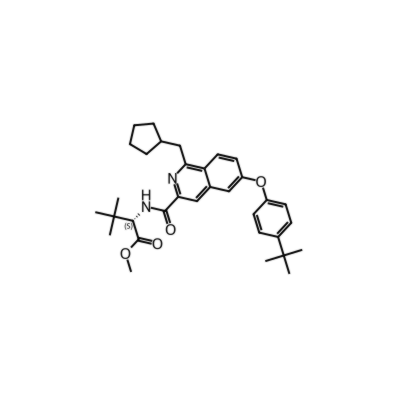 COC(=O)[C@@H](NC(=O)c1cc2cc(Oc3ccc(C(C)(C)C)cc3)ccc2c(CC2CCCC2)n1)C(C)(C)C